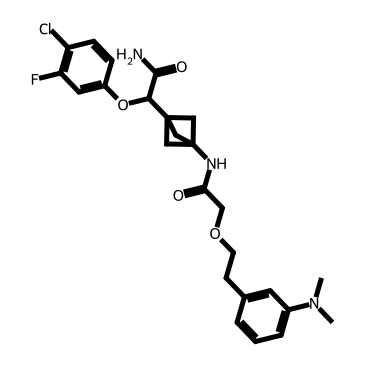 CN(C)c1cccc(CCOCC(=O)NC23CC(C(Oc4ccc(Cl)c(F)c4)C(N)=O)(C2)C3)c1